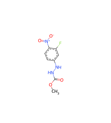 COC(=O)NNc1ccc([N+](=O)[O-])c(F)c1